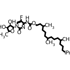 CC(C)CCCC(C)CCCC(C)CCCC(C)CCOC(=O)Nc1nc(=O)n([C@@H]2O[C@H](C)[C@@H](O)[C@H]2O)cc1F